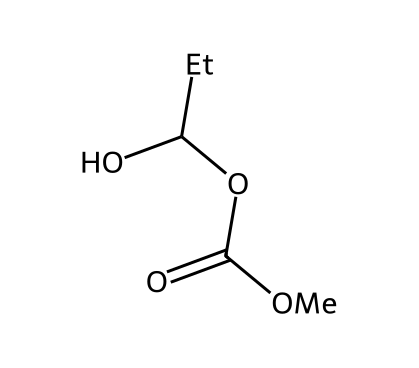 CCC(O)OC(=O)OC